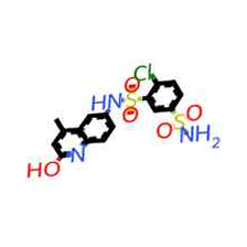 Cc1cc(O)nc2ccc(NS(=O)(=O)c3cc(S(N)(=O)=O)ccc3Cl)cc12